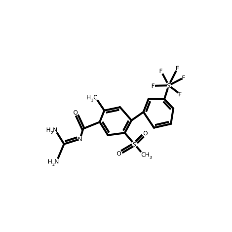 Cc1cc(-c2cccc(S(F)(F)(F)(F)F)c2)c(S(C)(=O)=O)cc1C(=O)N=C(N)N